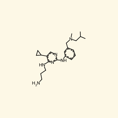 CC(C)CN(C)Cc1cccc(Nc2ncc(C3CC3)c(NCCCN)n2)c1